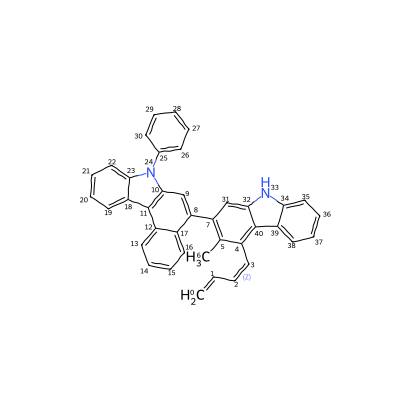 C=C/C=C\c1c(C)c(-c2cc3c(c4ccccc24)c2ccccc2n3-c2ccccc2)cc2[nH]c3ccccc3c12